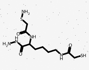 NNC(=O)C(CCCCNC(=O)CS)NC(=O)CSN